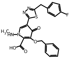 CNn1cc(-c2nnc(Cc3ccc(F)cc3)s2)c(=O)c(OCc2ccccc2)c1C(=O)O